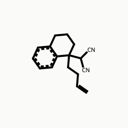 C=CCCC1(C(C#N)C#N)CCCc2ccccc21